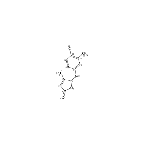 CC1=CC(=O)OC1Nc1cc(C(F)(F)F)c(Cl)cn1